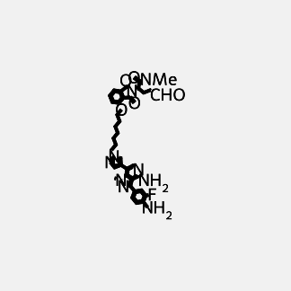 CNC(=O)C(CCC=O)N1C(=O)c2cccc(OCCCCCCCn3cc(-c4cnc(N)c5c(-c6ccc(N)c(F)c6)nn(C)c45)cn3)c2C1=O